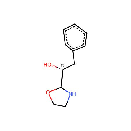 O[C@H](Cc1ccccc1)C1NCCO1